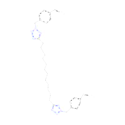 C=Cc1ccc(Cn2nnc(CCCCCCCCCCCCc3nnn(Cc4ccc(C=C)cc4)n3)n2)cc1